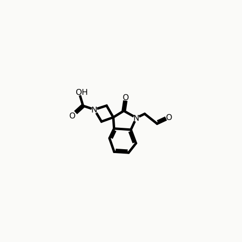 O=CCN1C(=O)C2(CN(C(=O)O)C2)c2ccccc21